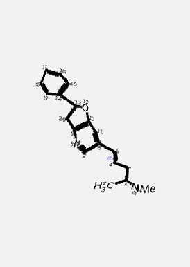 CNC(C)C/C=C/c1cnc2c(c1)OC(c1ccccc1)C2